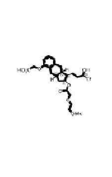 CC[C@H](O)CC[C@@H]1[C@H]2Cc3cccc(OCC(=O)O)c3C[C@H]2C[C@H]1OC(=O)COCCOC